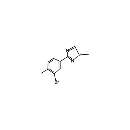 Cc1ccc(-c2ncn(C)n2)cc1Br